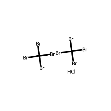 BrC(Br)(Br)Br.BrC(Br)(Br)Br.Cl